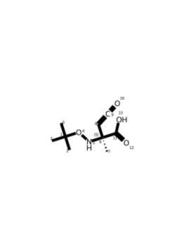 CC(C)(C)ON[C@@](C)(C=C=O)C(=O)O